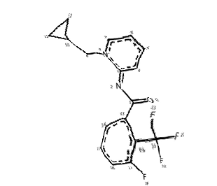 O=C(/N=c1\ccccn1CC1CC1)c1cccc(F)c1C(F)(F)F